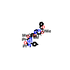 CC[C@H](C)[C@@H]([C@@H](CC(=O)N1CCC[C@H]1[C@H](OC)[C@@H](C)C(=O)N[C@@H](Cc1ccccc1)C(=O)OC)OC)N(C)C(=O)[C@@H](NC(=O)[C@H](C(C)C)N(C)Cc1ccc(C)cc1)C(C)C